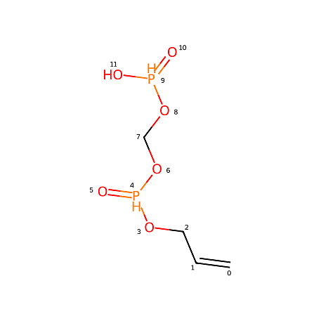 C=CCO[PH](=O)OCO[PH](=O)O